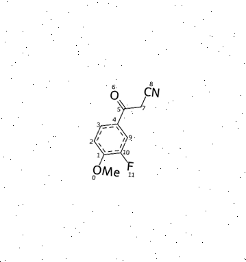 COc1ccc(C(=O)CC#N)cc1F